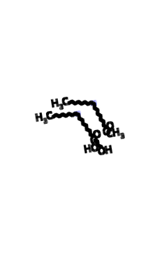 CCCCCCCC/C=C\CCCCCCCC(=O)OC.CCCCCCCC/C=C\CCCCCCCC(=O)OCC(O)CO